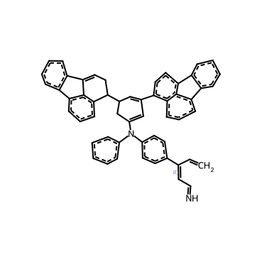 C=C/C(=C\C=N)c1ccc(N(C2=CC(c3ccc4c5c(cccc35)-c3ccccc3-4)=CC(C3CC=C4c5ccccc5-c5cccc3c54)C2)c2ccccc2)cc1